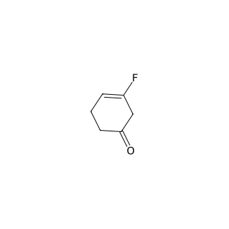 O=C1CCC=C(F)C1